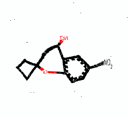 O=[N+]([O-])c1ccc2c(c1)C(O)CC1(CCC1)O2